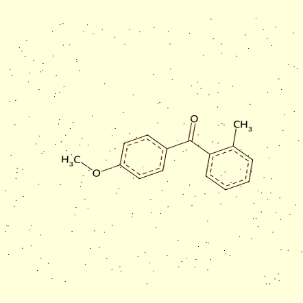 COc1ccc(C(=O)c2ccccc2C)cc1